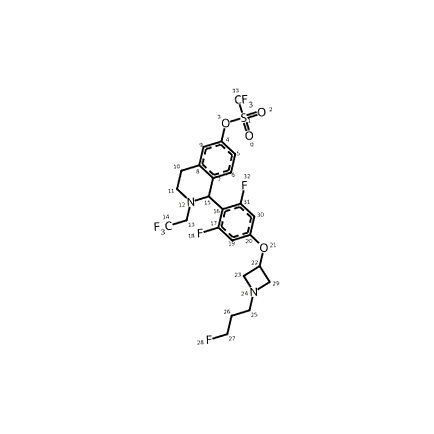 O=S(=O)(Oc1ccc2c(c1)CCN(CC(F)(F)F)C2c1c(F)cc(OC2CN(CCCF)C2)cc1F)C(F)(F)F